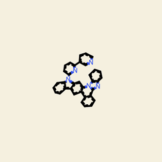 c1cncc(-c2cccc(-n3c4ccccc4c4cc5c6ccccc6c6nc7ccccc7n6c5cc43)n2)c1